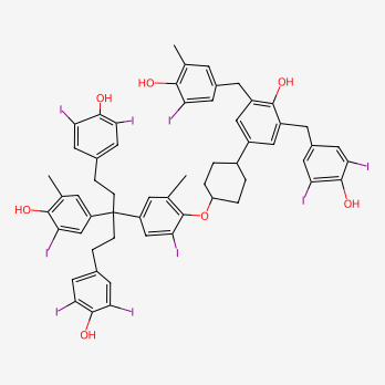 Cc1cc(Cc2cc(C3CCC(Oc4c(C)cc(C(CCc5cc(I)c(O)c(I)c5)(CCc5cc(I)c(O)c(I)c5)c5cc(C)c(O)c(I)c5)cc4I)CC3)cc(Cc3cc(I)c(O)c(I)c3)c2O)cc(I)c1O